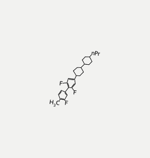 CCCC1CCC(C2CCC(c3cc(F)c(-c4ccc(C)c(F)c4)c(F)c3)CC2)CC1